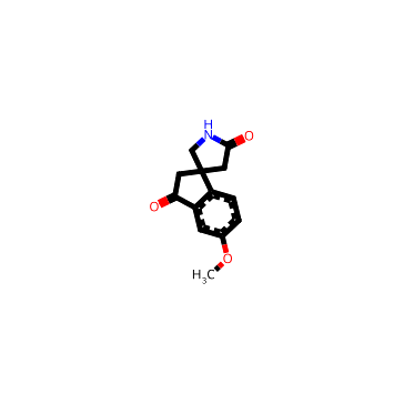 COc1ccc2c(c1)C(=O)CC21CNC(=O)C1